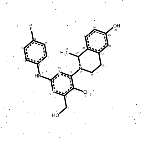 Cc1c(CO)nc(Nc2ccc(F)cc2)nc1N1CCc2cc(O)ccc2C1C